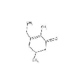 CCC1=C(C)C(=O)CC(C)C1